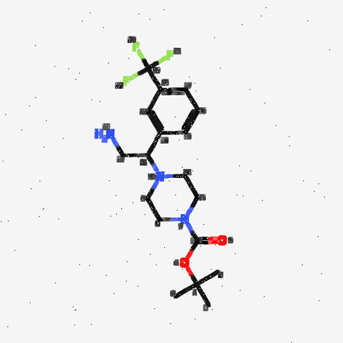 CC(C)(C)OC(=O)N1CCN(C(CN)c2cccc(C(F)(F)F)c2)CC1